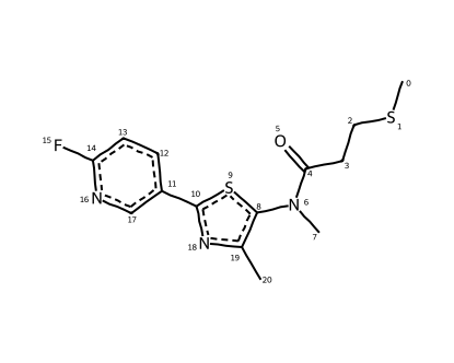 CSCCC(=O)N(C)c1sc(-c2ccc(F)nc2)nc1C